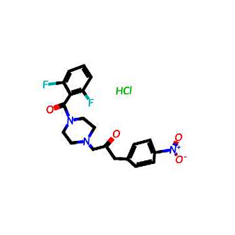 Cl.O=C(Cc1ccc([N+](=O)[O-])cc1)CN1CCN(C(=O)c2c(F)cccc2F)CC1